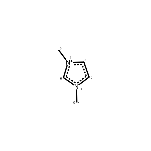 [CH2]n1cc[n+](C)c1